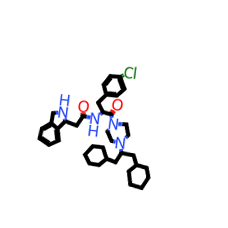 O=C(CC1NCc2ccccc21)NC(Cc1ccc(Cl)cc1)C(=O)N1CCN(C(CC2CCCCC2)CC2CCCCC2)CC1